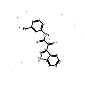 CCc1cccc(NC(=O)C(=O)c2c[nH]c3ccccc23)c1